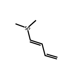 C=CC=[CH][Sn]([CH3])[CH3]